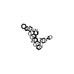 C[C@H]1CN(C2COC2)CCN1N(c1ccccn1)c1cc(-c2ccnc(N3CCn4c(cc5c4CCCC5)C3=O)c2CO)cn(C)c1=O